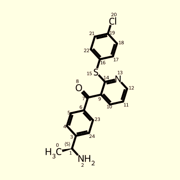 C[C@H](N)c1ccc(C(=O)c2cccnc2Sc2ccc(Cl)cc2)cc1